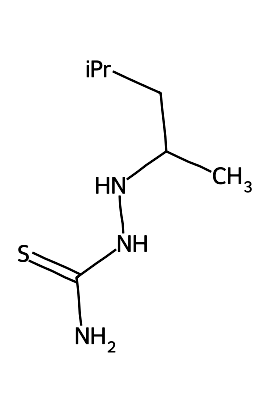 CC(C)CC(C)NNC(N)=S